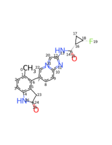 Cc1ccc2c(c1-c1ccc3nc(NC(=O)[C@@H]4C[C@@H]4F)cn3c1)CC(=O)N2